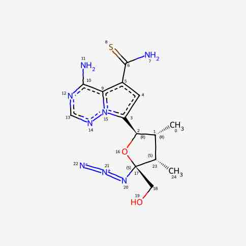 C[C@H]1[C@H](c2cc(C(N)=S)c3c(N)ncnn23)O[C@@](CO)(N=[N+]=[N-])[C@H]1C